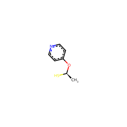 C[C@@H](S)Oc1ccncc1